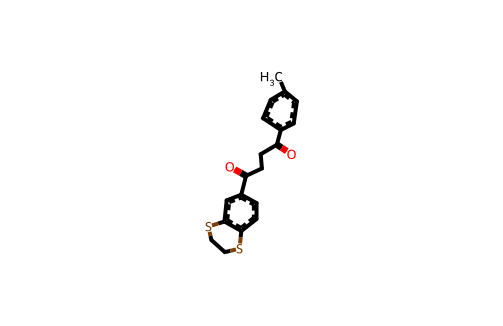 Cc1ccc(C(=O)CCC(=O)c2ccc3c(c2)SCCS3)cc1